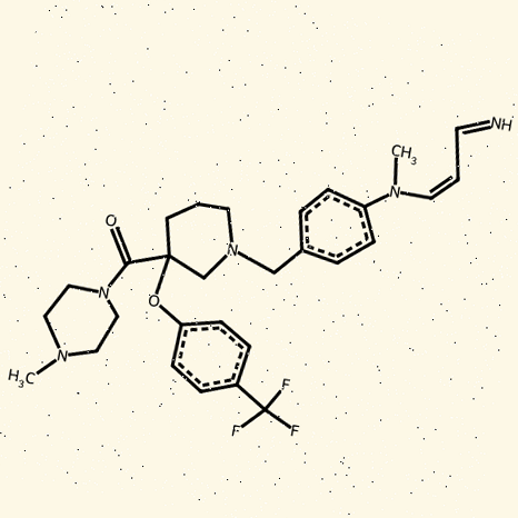 CN1CCN(C(=O)C2(Oc3ccc(C(F)(F)F)cc3)CCCN(Cc3ccc(N(C)/C=C\C=N)cc3)C2)CC1